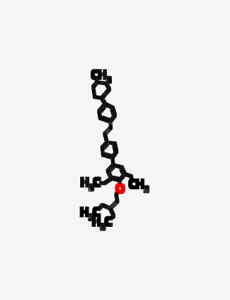 CCc1cc(-c2ccc(CCc3ccc(C4CCC(C)CC4)cc3)cc2)cc(CC)c1OCCC(CC)CC